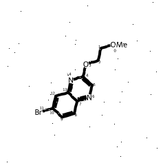 COCCOc1cnc2ccc(Br)cc2n1